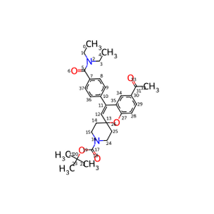 CCN(CC)C(=O)c1ccc(C2=CC3(CCN(C(=O)OC(C)(C)C)CC3)Oc3ccc(C(C)=O)cc32)cc1